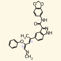 C=N/C=C(\C=C(/C)c1ccc2[nH]nc(C(=O)Nc3ccc4c(c3)OCO4)c2c1)Oc1ccccc1